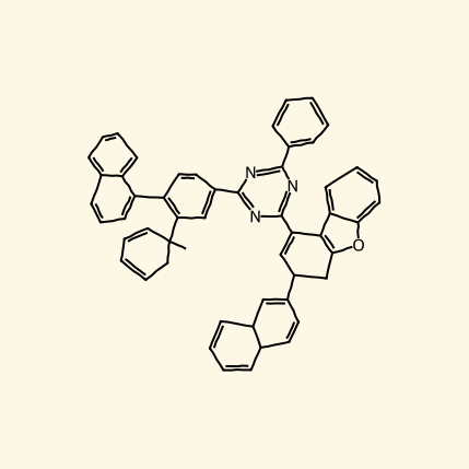 CC1(c2cc(-c3nc(C4=CC(C5=CC6C=CC=CC6C=C5)Cc5oc6ccccc6c54)nc(-c4ccccc4)n3)ccc2-c2cccc3ccccc23)C=CC=CC1